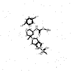 CC(C)(C)OC(=O)N[C@H]1CC(C)(N2Cc3cn(S(C)(=O)=O)nc3C2)CO[C@@H]1c1cc(F)ccc1F